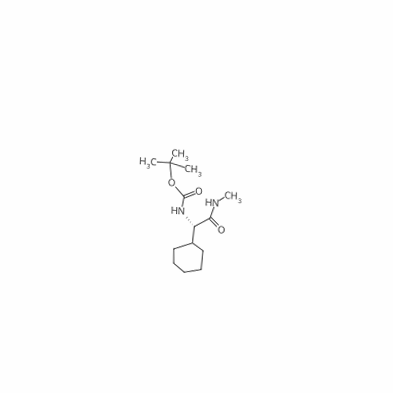 CNC(=O)[C@@H](NC(=O)OC(C)(C)C)C1CCCCC1